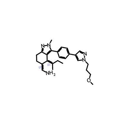 CC/C(C)=C1/C(=C\N)CCc2nn(C)c(-c3ccc(-c4cnn(CCCOC)c4)cc3)c21